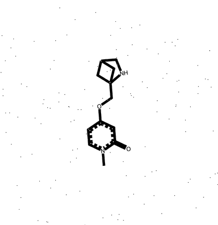 Cn1ccc(OCC23CC(CN2)C3)cc1=O